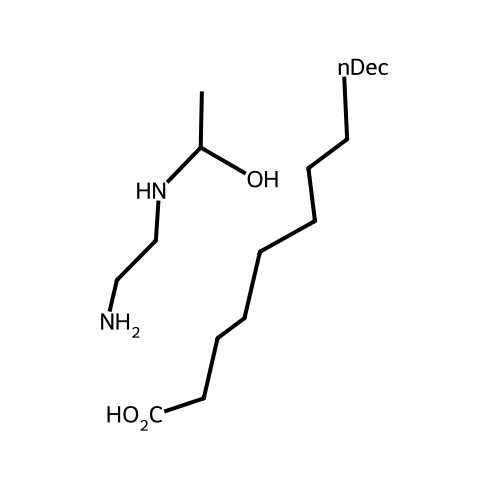 CC(O)NCCN.CCCCCCCCCCCCCCCCCC(=O)O